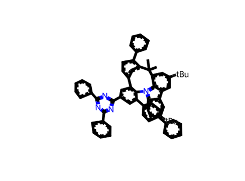 CC(C)(C)c1ccc2c(c1)c1cc(C(C)(C)C)cc3c1n2-c1c(-c2ccc(-c4ccccc4)cc2)cc(-c2nc(-c4ccccc4)nc(-c4ccccc4)n2)cc1-c1ccc(-c2ccccc2)c(c1)C3(C)C